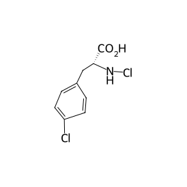 O=C(O)[C@@H](Cc1ccc(Cl)cc1)NCl